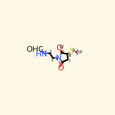 O=CNCCN1C(=O)CC(SI)C1=O